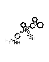 Cl.Cl.Cl.N=C(N)N1CCN(CCn2c(=O)n(C3CCN(C4(c5ccccc5)CCCCCC4)CC3)c3ccccc32)CC1